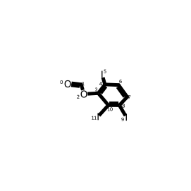 O=COc1c(I)ccc(I)c1I